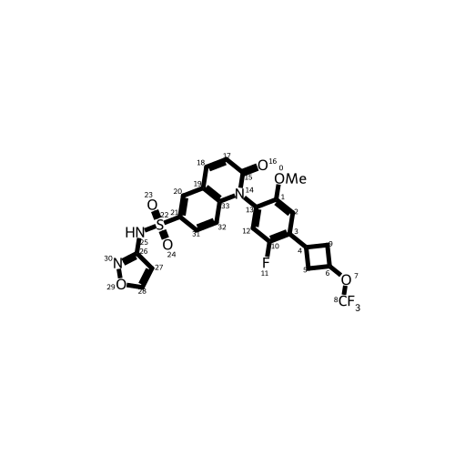 COc1cc(C2CC(OC(F)(F)F)C2)c(F)cc1-n1c(=O)ccc2cc(S(=O)(=O)Nc3ccon3)ccc21